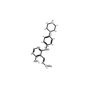 CON=Cc1c(N)ncnc1Nc1ccc(N2CCOCC2)cc1